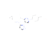 OCC1CCC(n2cc(-n3nccc3NCC3CC3)c(C(F)F)n2)CC1